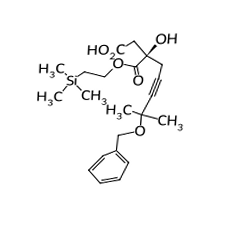 CC(C)(C#CC[C@@](O)(CC(=O)O)C(=O)OCC[Si](C)(C)C)OCc1ccccc1